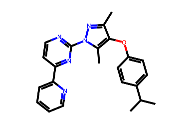 Cc1nn(-c2nccc(-c3ccccn3)n2)c(C)c1Oc1ccc(C(C)C)cc1